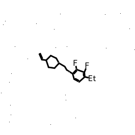 C=CC1CCC(CCc2ccc(CC)c(F)c2F)CC1